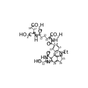 CCN(c1ccc(C(=O)N[C@@H](CCCC(=O)N[C@H](CCC(=O)O)C(=O)O)C(=O)O)cc1)[C@H]1CCc2cc3nc(CO)[nH]c(=O)c3cc21